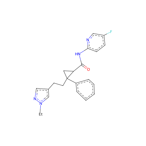 CCn1cc(CCC2(c3ccccc3)CC2C(=O)Nc2ccc(F)cn2)cn1